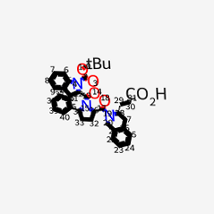 CC(C)(C)OC(=O)N1c2ccccc2C[C@@H]1C(=O)N1[C@@H](C(=O)N2Cc3ccccc3C[C@H]2CCC(=O)O)CC[C@H]1c1ccccc1